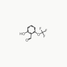 O=Cc1c(O)cccc1OC(F)(F)F